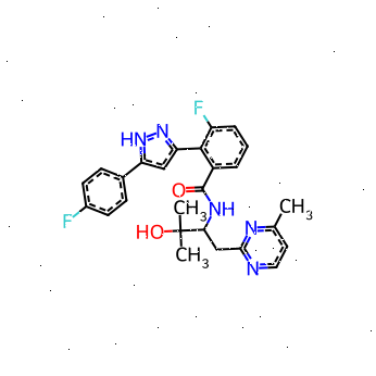 Cc1ccnc(CC(NC(=O)c2cccc(F)c2-c2cc(-c3ccc(F)cc3)[nH]n2)C(C)(C)O)n1